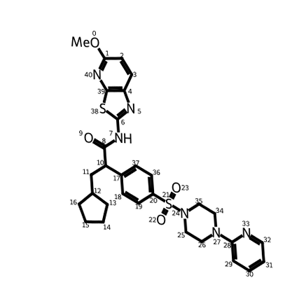 COc1ccc2nc(NC(=O)C(CC3CCCC3)c3ccc(S(=O)(=O)N4CCN(c5ccccn5)CC4)cc3)sc2n1